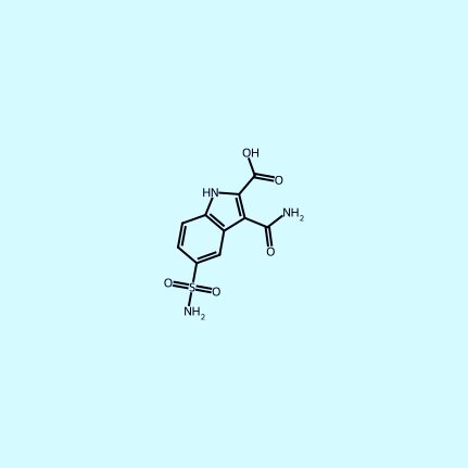 NC(=O)c1c(C(=O)O)[nH]c2ccc(S(N)(=O)=O)cc12